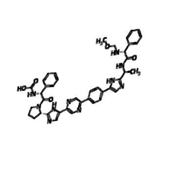 COCN[C@@H](C(=O)N[C@@H](C)c1ncc(-c2ccc(-c3cnc(-c4cnc([C@@H]5CCCN5C(=O)[C@H](NC(=O)O)c5ccccc5)[nH]4)cn3)cc2)[nH]1)c1ccccc1